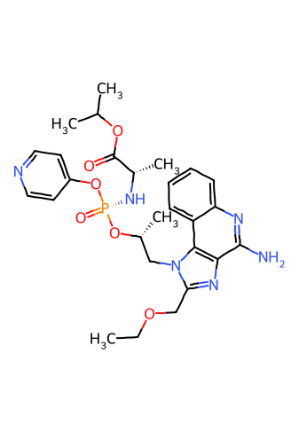 CCOCc1nc2c(N)nc3ccccc3c2n1C[C@@H](C)O[P@](=O)(N[C@@H](C)C(=O)OC(C)C)Oc1ccncc1